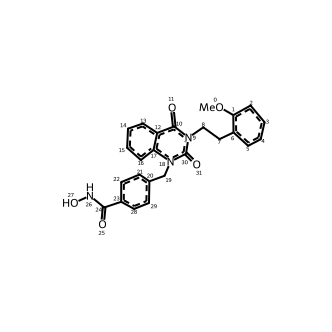 COc1ccccc1CCn1c(=O)c2ccccc2n(Cc2ccc(C(=O)NO)cc2)c1=O